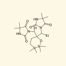 CCC(N1C(=O)NC(C)(C)C1=O)C1(C(CC)N2C(=O)NC(C)(C)C2=O)CC[Si](C)(C)[Si](C)(C)O1